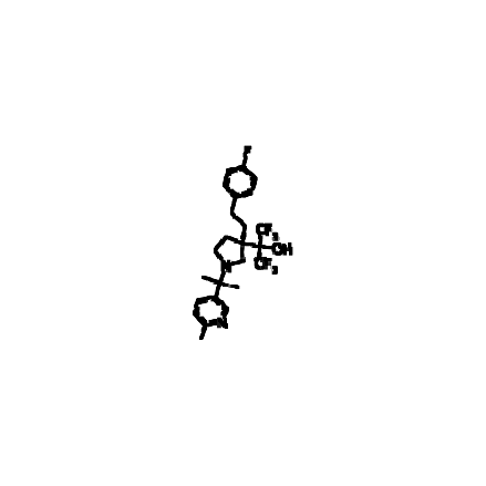 Cc1ccc(C(C)(C)N2CCC(CCc3ccc(F)cc3)(C(O)(C(F)(F)F)C(F)(F)F)C2)cn1